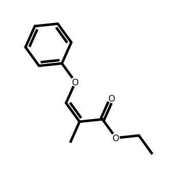 CCOC(=O)C(C)=COc1ccccc1